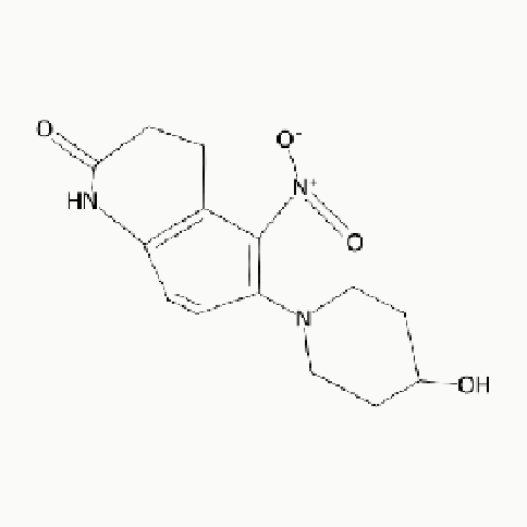 O=C1CCc2c(ccc(N3CCC(O)CC3)c2[N+](=O)[O-])N1